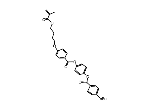 C=C(C)C(=O)OCCCCOc1ccc(C(=O)Oc2ccc(OC(=O)c3ccc(CCCC)cc3)cc2)cc1